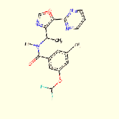 CCN(C(=O)c1cc(OC(F)F)cc(C(F)(F)F)c1)C(C)c1ncoc1-c1ncccn1